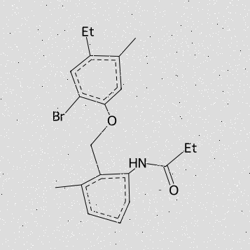 CCC(=O)Nc1cccc(C)c1COc1cc(C)c(CC)cc1Br